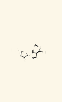 C[C@@H]1C[C@H](C)[C@H](n2ccc3c(N)ncnc32)O1